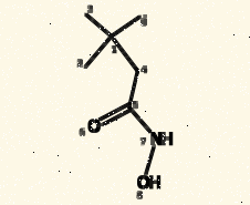 [CH2]C(C)(C)CC(=O)NO